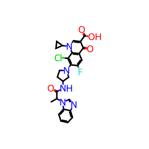 CC(C(=O)NC1CCN(c2c(F)cc3c(=O)c(C(=O)O)cn(C4CC4)c3c2Cl)C1)n1cnc2ccccc21